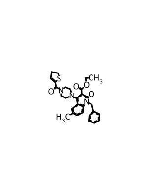 CCOC(=O)c1c(N2CCN(C(=O)C3=CCCS3)CC2)c2cc(C)ccc2n(Cc2ccccc2)c1=O